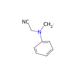 [CH2]N(CC#N)c1ccccc1